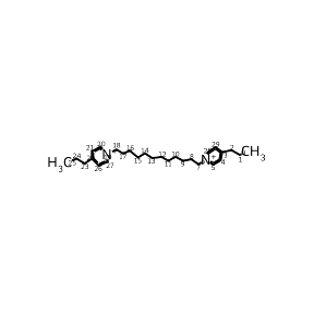 CCCc1cc[n+](CCCCCCCCCCCC[n+]2ccc(CCC)cc2)cc1